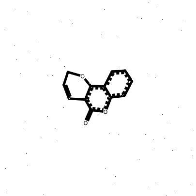 O=c1oc2ccccc2c2c1C=CCO2